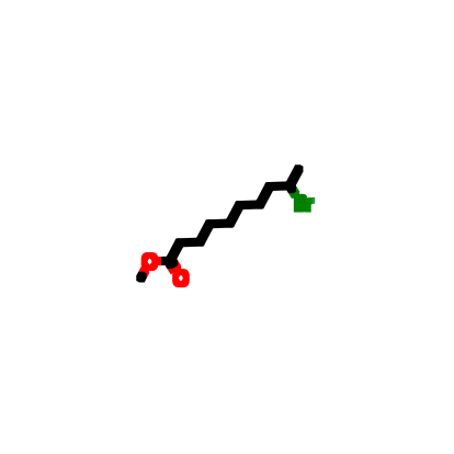 COC(=O)CCCCCCCC(C)Br